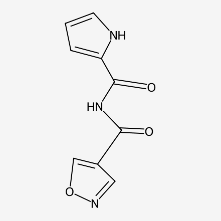 O=C(NC(=O)c1ccc[nH]1)c1cnoc1